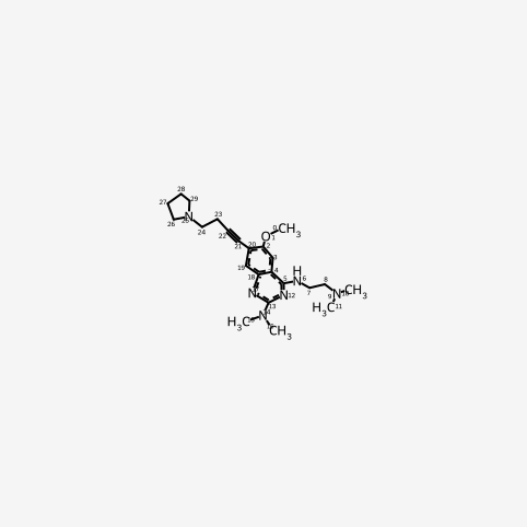 COc1cc2c(NCCN(C)C)nc(N(C)C)nc2cc1C#CCCN1CCCC1